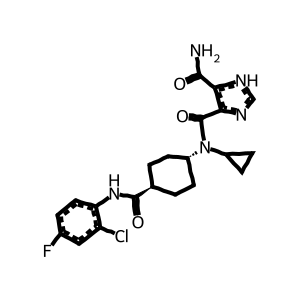 NC(=O)c1[nH]cnc1C(=O)N(C1CC1)[C@H]1CC[C@H](C(=O)Nc2ccc(F)cc2Cl)CC1